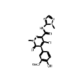 COc1cc(-c2c(Cl)c(C(=O)Nc3ncnn3C)nn(C)c2=O)ccc1O